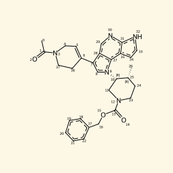 CC(=O)N1CC=C(c2cn([C@H]3CN(C(=O)OCc4ccccc4)CC[C@H]3C)c3c2cnc2[nH]ccc23)CC1